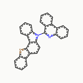 c1ccc2c(c1)nc(-n1c3ccccc3c3c4sc5ccccc5c4ccc31)c1ccccc12